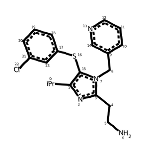 CC(C)c1nc(CCN)n(Cc2cccnc2)c1Sc1cccc(Cl)c1